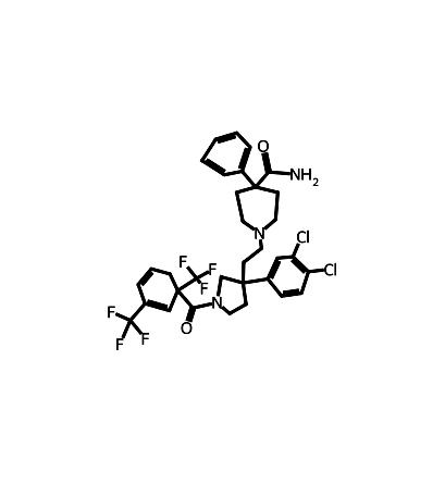 NC(=O)C1(c2ccccc2)CCN(CCC2(c3ccc(Cl)c(Cl)c3)CCN(C(=O)C3(C(F)(F)F)C=C(C(F)(F)F)C=CC3)C2)CC1